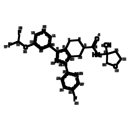 N#CC1(NC(=O)C2CCc3c(-c4cncc(OC(F)F)c4)nn(-c4ccc(F)cn4)c3C2)CCOC1